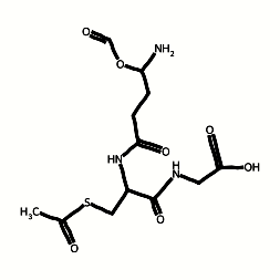 CC(=O)SCC(NC(=O)CCC(N)OC=O)C(=O)NCC(=O)O